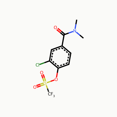 CN(C)C(=O)c1ccc(OS(=O)(=O)C(F)(F)F)c(Cl)c1